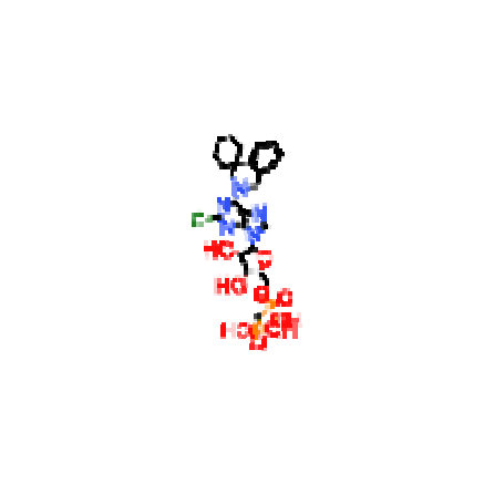 O=P(O)(O)CP(=O)(O)OCC1OC(n2cnc3c(N4Cc5ccccc5C5(CCCCC5)C4)nc(Cl)nc32)C(O)C1O